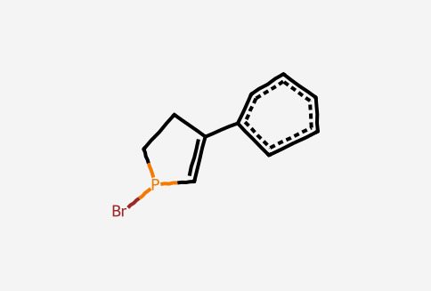 BrP1C=C(c2ccccc2)CC1